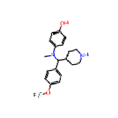 CN(c1ccc(O)cc1)C(c1ccc(OC(F)(F)F)cc1)C1CCNCC1